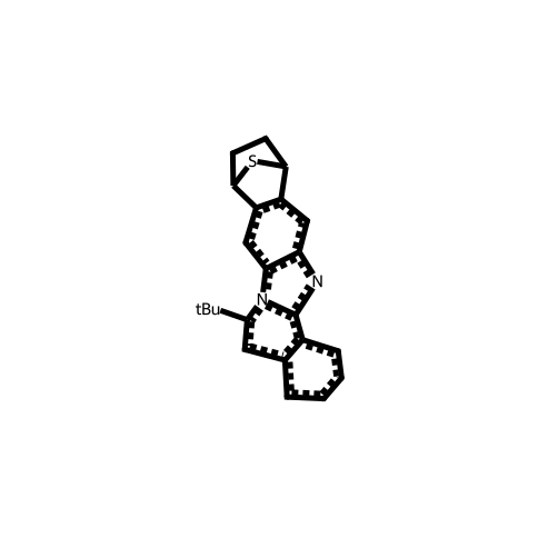 CC(C)(C)c1cc2ccccc2c2nc3cc4c(cc3n12)C1CCC4S1